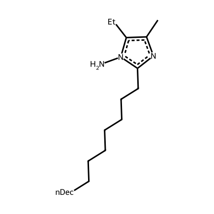 CCCCCCCCCCCCCCCCCc1nc(C)c(CC)n1N